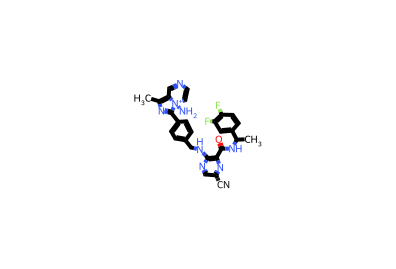 CC1=C2C=NC=C[N+]2(N)C(c2ccc(CNc3ncc(C#N)nc3C(=O)NC(C)c3ccc(F)c(F)c3)cc2)=N1